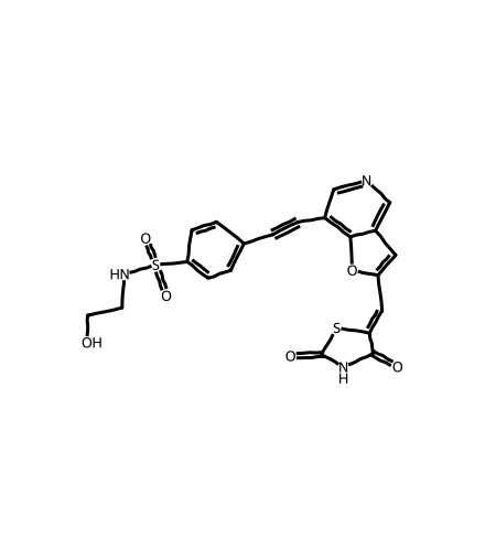 O=C1NC(=O)C(=Cc2cc3cncc(C#Cc4ccc(S(=O)(=O)NCCO)cc4)c3o2)S1